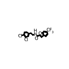 O=C(NCCc1ccc(Cl)c(Cl)c1)c1cc2ccc(C(F)(F)F)cc2o1